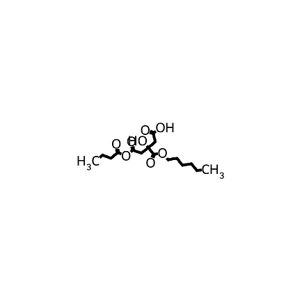 CCCCCCOC(=O)C(O)(CC(=O)O)CC(=O)OC(=O)CCC